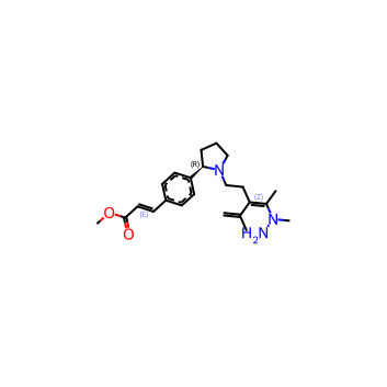 C=C(C)/C(CCN1CCC[C@@H]1c1ccc(/C=C/C(=O)OC)cc1)=C(/C)N(C)N